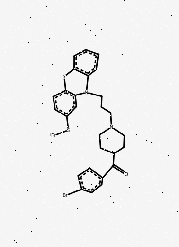 CC(C)Sc1ccc2c(c1)N(CCCN1CCC(C(=O)c3ccc(Br)cc3)CC1)c1ccccc1S2